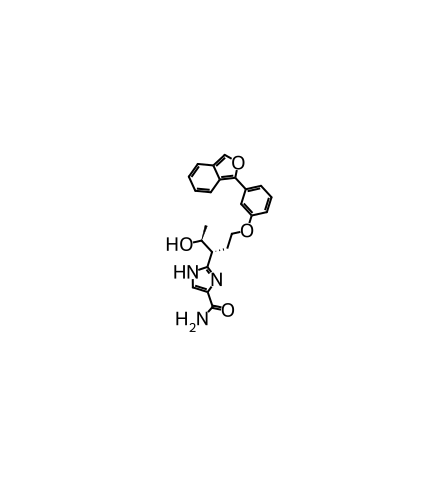 C[C@H](O)[C@H](CCOc1cccc(-c2occ3ccccc23)c1)c1nc(C(N)=O)c[nH]1